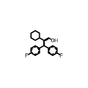 OC=C(C1CCCCC1)C(c1ccc(F)cc1)c1ccc(F)cc1